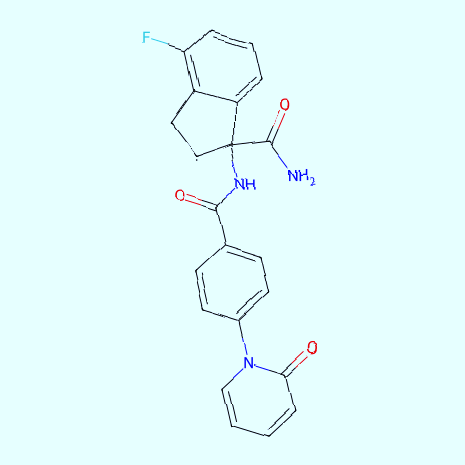 NC(=O)C1(NC(=O)c2ccc(-n3ccccc3=O)cc2)[CH]Cc2c(F)cccc21